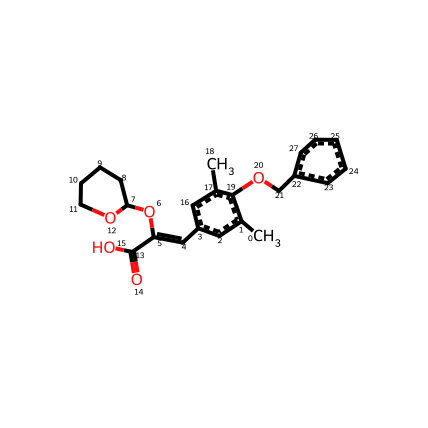 Cc1cc(C=C(OC2CCCCO2)C(=O)O)cc(C)c1OCc1ccccc1